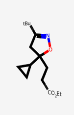 CCOC(=O)CCC1(C2CC2)CC(C(C)(C)C)=NO1